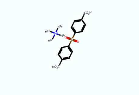 CCC[N+](CCC)(CCC)CCC.O=C(O)c1ccc(S(=O)(=O)c2ccc(C(=O)O)cc2)cc1